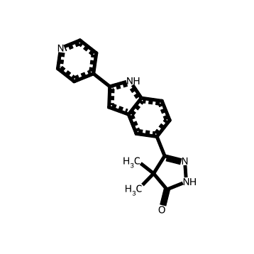 CC1(C)C(=O)NN=C1c1ccc2[nH]c(-c3ccncc3)cc2c1